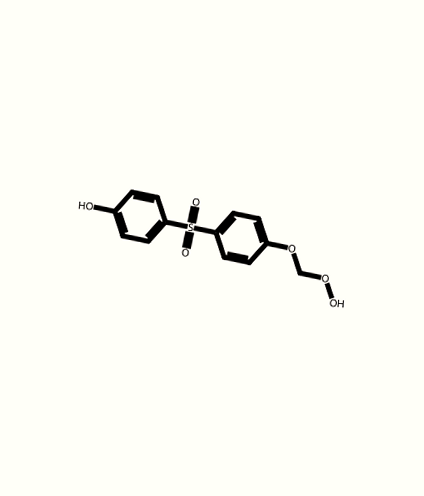 O=S(=O)(c1ccc(O)cc1)c1ccc(OCOO)cc1